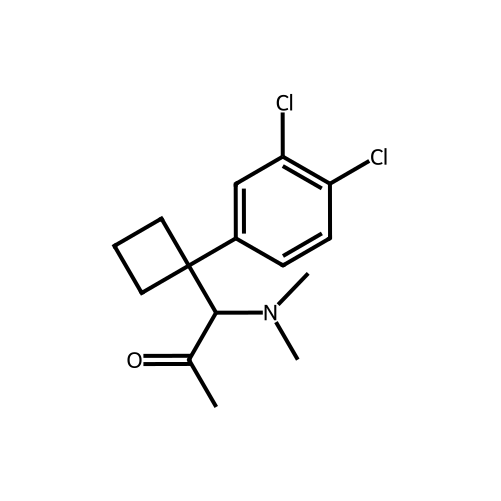 CC(=O)C(N(C)C)C1(c2ccc(Cl)c(Cl)c2)CCC1